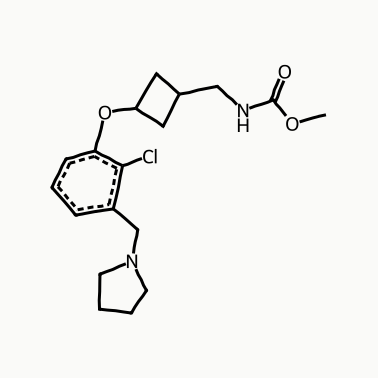 COC(=O)NCC1CC(Oc2cccc(CN3CCCC3)c2Cl)C1